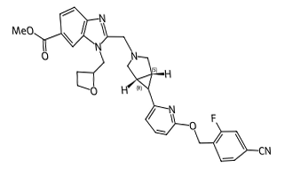 COC(=O)c1ccc2nc(CN3C[C@@H]4C(c5cccc(OCc6ccc(C#N)cc6F)n5)[C@@H]4C3)n(CC3CCO3)c2c1